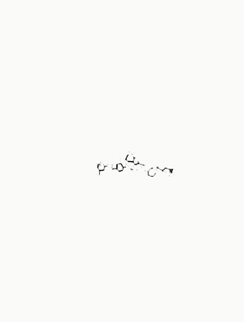 Cc1ccnc(NC(=O)c2ccc(N3C(=O)Nc4c(C(=O)N[C@H]5CCCN(C(=O)/C(C#N)=C/C6CC6)C5)sc5nccc3c45)c(F)c2)c1